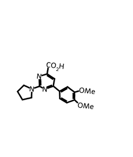 COc1ccc(-c2cc(C(=O)O)nc(N3CCCC3)n2)cc1OC